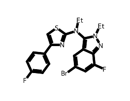 CCN(c1nc(-c2ccc(F)cc2)cs1)c1c2cc(Br)cc(F)c2nn1CC